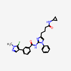 Cn1ncc(-c2cccc(C(=O)Nc3nc(CCCC(=O)NC4CC4)cn3-c3ccccc3)c2)c1F